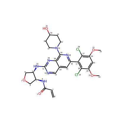 C=CC(=O)N[C@H]1COC[C@H]1Nc1ncc2cc(-c3c(Cl)c(OC)cc(OC)c3Cl)nc(N3CCC(O)CC3)c2n1